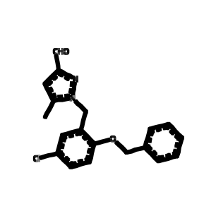 Cc1cc(C=O)nn1Cc1cc(Cl)ccc1OCc1ccccc1